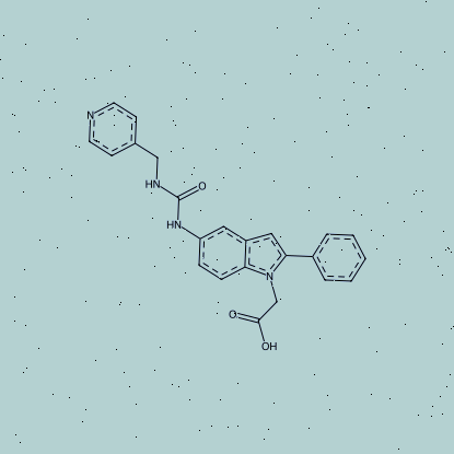 O=C(O)Cn1c(-c2ccccc2)cc2cc(NC(=O)NCc3ccncc3)ccc21